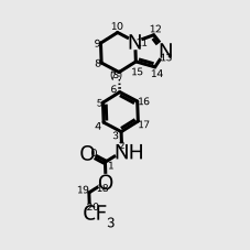 O=C(Nc1ccc([C@@H]2CCCn3cncc32)cc1)OCC(F)(F)F